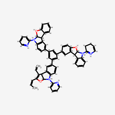 C=CC1=C(/C=C\C)OC2C1c1cc(-c3cc(-c4ccc5c(c4)C4c6ccccc6N(C6=NC=CCC6)C4O5)cc(-c4ccc5c(c4)C4c6ccccc6OC4N5c4ccccn4)c3)ccc1N2c1ccccn1